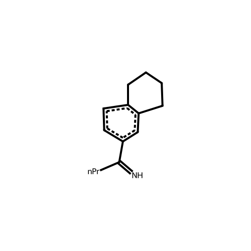 CCCC(=N)c1ccc2c(c1)CCCC2